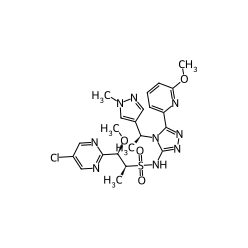 COc1cccc(-c2nnc(NS(=O)(=O)[C@@H](C)[C@H](OC)c3ncc(Cl)cn3)n2[C@@H](C)c2cnn(C)c2)n1